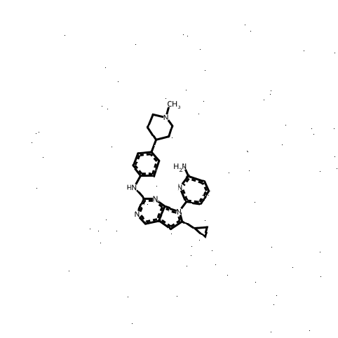 CN1CCC(c2ccc(Nc3ncc4cc(C5CC5)n(-c5cccc(N)n5)c4n3)cc2)CC1